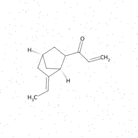 C=CC(=O)C1C[C@@H]2CC(=CC)[C@H]1C2